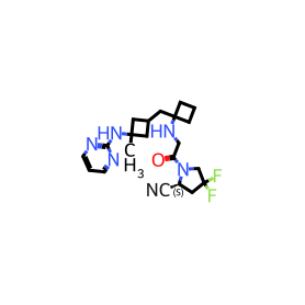 CC1(Nc2ncccn2)CC(CC2(NCC(=O)N3CC(F)(F)C[C@H]3C#N)CCC2)C1